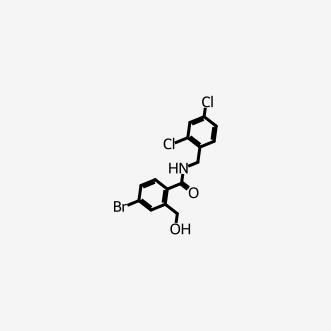 O=C(NCc1ccc(Cl)cc1Cl)c1ccc(Br)cc1CO